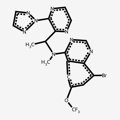 CC(c1nccnc1-n1nccn1)N(C)c1ncnc2c(Br)cc(OC(F)(F)F)cc12